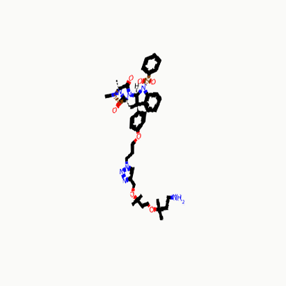 CN1C(=O)[C@@]23C[C@]4(c5ccc(OCCCn6cc(COC(C)(C)CCOC(C)(C)CCN)nn6)cc5)c5ccccc5N(S(=O)(=O)c5ccccc5)[C@@H]4N2C(=O)[C@]1(C)SS3